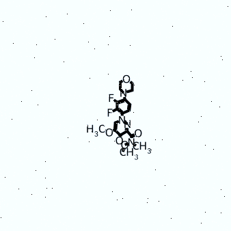 COc1cn(-c2ccc(N3CCOCC3)c(F)c2F)nc(C(=O)N(C)OC)c1=O